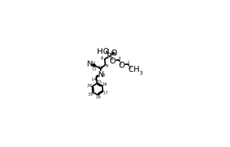 CCOCOP(=O)(O)CCC(C#N)N=Cc1ccccc1